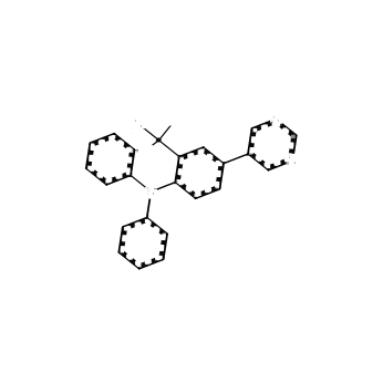 CCC(N)(CC)c1cc(-c2cncnc2)ccc1N(c1ccccc1)c1ccccc1